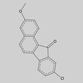 COc1ccc2c3c(ccc2c1)-c1ccc(Cl)cc1C3=O